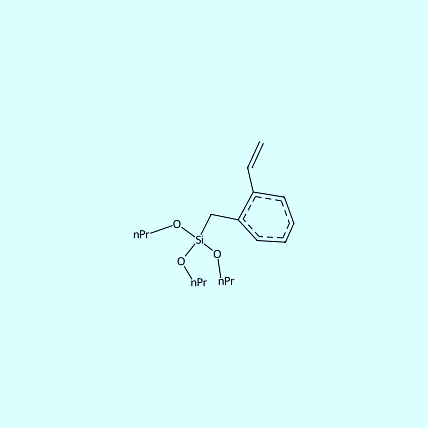 C=Cc1ccccc1C[Si](OCCC)(OCCC)OCCC